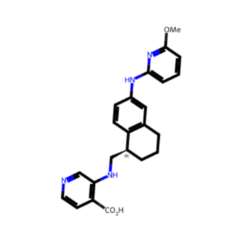 COc1cccc(Nc2ccc3c(c2)CCC[C@H]3CNc2cnccc2C(=O)O)n1